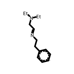 CCN(CC)CC=NCCc1cc[c]cc1